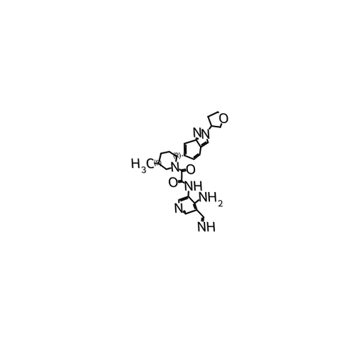 C[C@H]1CC[C@H](c2ccc3cn(C4CCOC4)nc3c2)N(C(=O)C(=O)Nc2cncc(C=N)c2N)C1